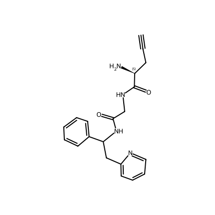 C#CC[C@H](N)C(=O)NCC(=O)NC(Cc1ccccn1)c1ccccc1